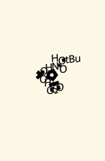 CC(C)(C)OC(=O)N[C@@H]1C[C@H](C(C)(C)S(C)(=O)=O)[C@H]2OC(C)(C)O[C@H]21